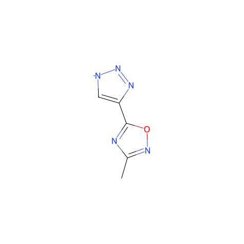 Cc1noc(C2=C[N]N=N2)n1